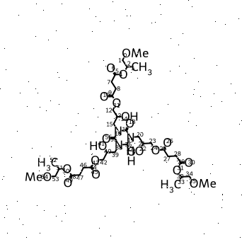 COCC(C)OC(=O)CCC(=O)OCC(O)CN1C(=O)N(CC(O)COC(=O)CCC(=O)OC(C)COC)C(O)N(CC(O)COC(=O)CCC(=O)OC(C)COC)C1=O